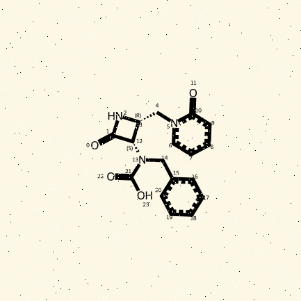 O=C1N[C@H](Cn2ccccc2=O)[C@@H]1N(Cc1ccccc1)C(=O)O